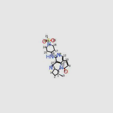 C[C@H]1CCC[C@H]1n1c(=O)ccc2cnc(NC3CCN(S(C)(=O)=O)CC3)c(C#N)c21